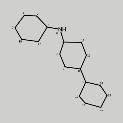 C1CCC(NC2CCC(C3CCCCC3)CC2)CC1